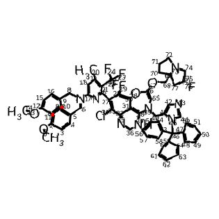 COc1ccc(CN(Cc2ccc(OC)cc2)c2cc(C)c(C(F)(F)F)c(-c3c(F)c4c5c(c3Cl)=NCNC=5N(Cc3cncn3C(c3ccccc3)(c3ccccc3)c3ccccc3)C=C(OC[C@@]35CCCN3C[C@H](F)C5)O4)n2)cc1